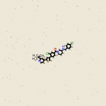 CC(C)(C)c1cc(-c2cc(-c3ccc(C(=O)N4CCCC(NCc5ccc(Cl)cc5)C4)cc3Cl)cs2)ccn1